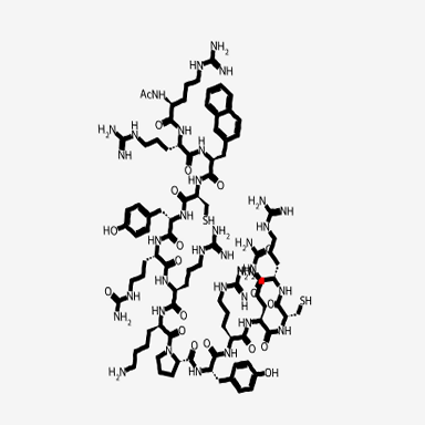 CC(=O)N[C@@H](CCCNC(=N)N)C(=O)N[C@@H](CCCNC(=N)N)C(=O)N[C@@H](Cc1ccc2ccccc2c1)C(=O)N[C@@H](CS)C(=O)N[C@@H](Cc1ccc(O)cc1)C(=O)N[C@@H](CCCNC(N)=O)C(=O)N[C@@H](CCCNC(=N)N)C(=O)N[C@H](CCCCN)C(=O)N1CCC[C@H]1C(=O)N[C@@H](Cc1ccc(O)cc1)C(=O)N[C@@H](CCCNC(=N)N)C(=O)N[C@@H](CCCNC(N)=O)C(=O)N[C@@H](CS)C(=O)N[C@@H](CCCNC(=N)N)C(N)=O